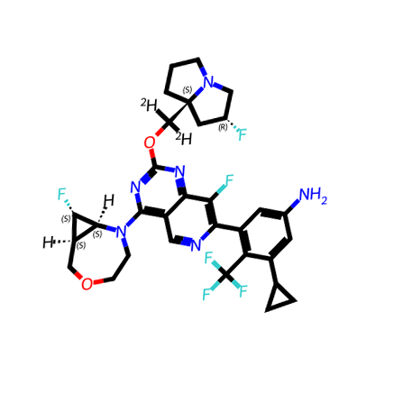 [2H]C([2H])(Oc1nc(N2CCOC[C@H]3[C@H](F)[C@H]32)c2cnc(-c3cc(N)cc(C4CC4)c3C(F)(F)F)c(F)c2n1)[C@@]12CCCN1C[C@H](F)C2